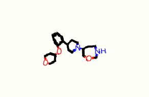 c1ccc(C2CCN([C@H]3CCNCOC3)CC2)c(OC2CCOCC2)c1